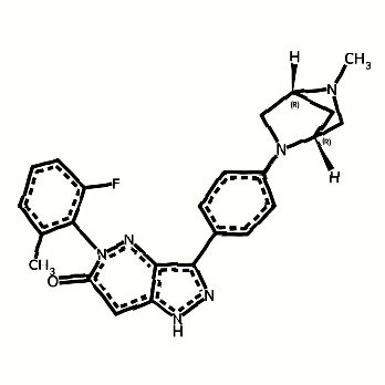 Cc1cccc(F)c1-n1nc2c(-c3ccc(N4C[C@H]5C[C@@H]4CN5C)cc3)n[nH]c2cc1=O